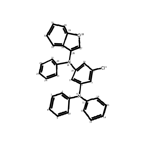 Clc1cc(N(c2ccccc2)c2ccccc2)cc(N(c2ccccc2)c2coc3ccccc23)c1